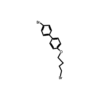 BrCCCCOc1ccc(-c2ccc(Br)cc2)cc1